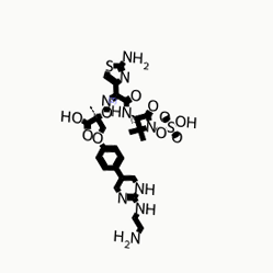 CC1(C)[C@H](NC(=O)/C(=N\O[C@@](C)(COc2ccc(C3CN=C(NCCN)NC3)cc2)C(=O)O)c2csc(N)n2)C(=O)N1OS(=O)(=O)O